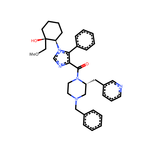 COC[C@]1(O)CCCC[C@H]1n1cnc(C(=O)N2CCN(Cc3ccccc3)C[C@H]2Cc2cccnc2)c1-c1ccccc1